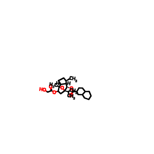 CC(C)[C@@]12C[C@@H](OC(=O)CO)[C@@](C)(O1)[C@@H]1CC[C@@H](C)[C@H]1[C@@H]2OC(=O)C1CCC2CCCCC2C1